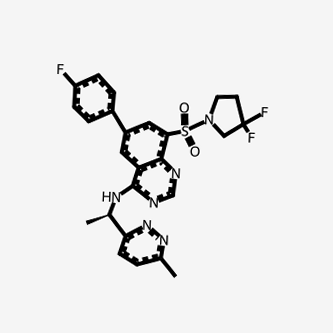 Cc1ccc([C@@H](C)Nc2ncnc3c(S(=O)(=O)N4CCC(F)(F)C4)cc(-c4ccc(F)cc4)cc23)nn1